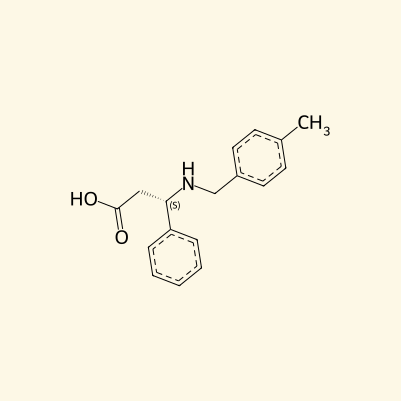 Cc1ccc(CN[C@@H](CC(=O)O)c2ccccc2)cc1